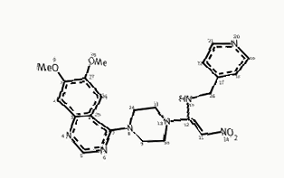 COc1cc2ncnc(N3CCN(C(=C[N+](=O)[O-])NCc4ccncc4)CC3)c2cc1OC